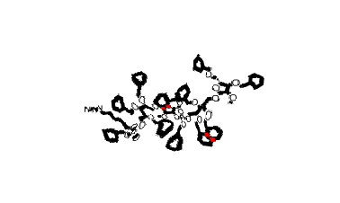 COC1C(OCc2ccccc2)[C@@H](COCc2ccccc2)O[C@H]1OCC(OCc1ccccc1)C(OCc1ccccc1)C(COP(=O)(OCc1ccccc1)OC1C(OC)[C@H](OCC(OCc2ccccc2)C(OCc2ccccc2)C(COP(=O)(OCCCCCN=[N+]=[N-])OCc2ccccc2)OCc2ccccc2)O[C@@H]1COCc1ccccc1)OCc1ccccc1